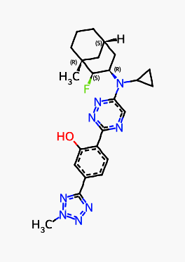 Cn1nnc(-c2ccc(-c3ncc(N(C4CC4)[C@@H]4C[C@H]5CCC[C@](C)(C5)[C@@H]4F)nn3)c(O)c2)n1